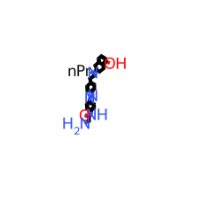 CCCN(CCc1ccc(/N=N/c2ccc(NC(=O)CN)cc2)cc1)C1CCc2c(O)cccc2C1